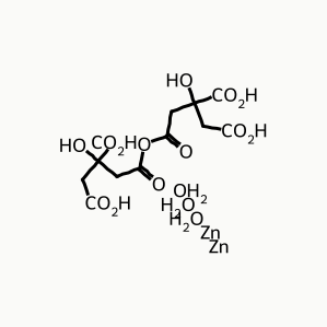 O.O.O.O=C(O)CC(O)(CC(=O)OC(=O)CC(O)(CC(=O)O)C(=O)O)C(=O)O.[Zn].[Zn]